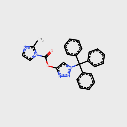 Cc1nccn1C(=O)Oc1cn(C(c2ccccc2)(c2ccccc2)c2ccccc2)nn1